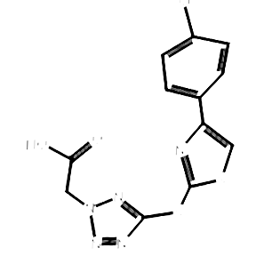 O=C(O)Cn1nnc(Sc2nc(-c3ccc(Cl)cc3)cs2)n1